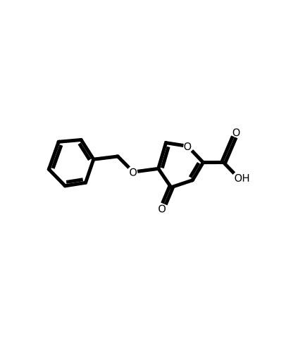 O=C(O)c1cc(=O)c(OCc2ccccc2)co1